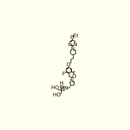 CCOc1cnc(N2CCC(CCCOc3cc(F)c(CC(=O)N4CC[C@@H](CNCC(O)(CO)CO)C4)c(F)c3)CC2)nc1